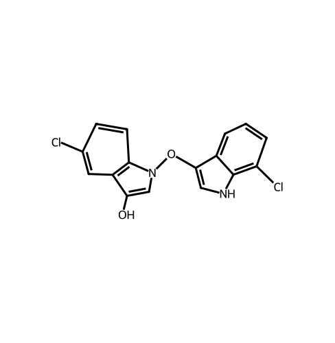 Oc1cn(Oc2c[nH]c3c(Cl)cccc23)c2ccc(Cl)cc12